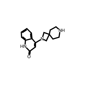 O=c1cc(N2CC3(CCNCC3)C2)c2ccccc2[nH]1